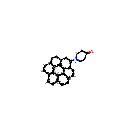 O=C1CCN(c2cc3ccc4ccc5ccc6ccc7ccc2c2c7c6c5c4c32)CC1